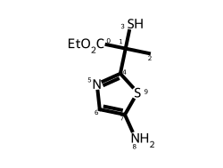 CCOC(=O)C(C)(S)c1ncc(N)s1